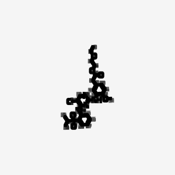 CCOCCOC(=O)Cc1ccc(OC)c(Nc2ncc(Cl)c(Nc3ccccc3S(=O)(=O)C(C)C)n2)c1